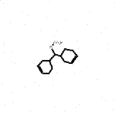 O=C(O)OC(C1CC=CCC1)C1CC=CCC1